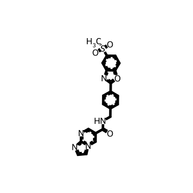 CS(=O)(=O)c1ccc2oc(-c3ccc(CNC(=O)c4cnc5nccn5c4)cc3)nc2c1